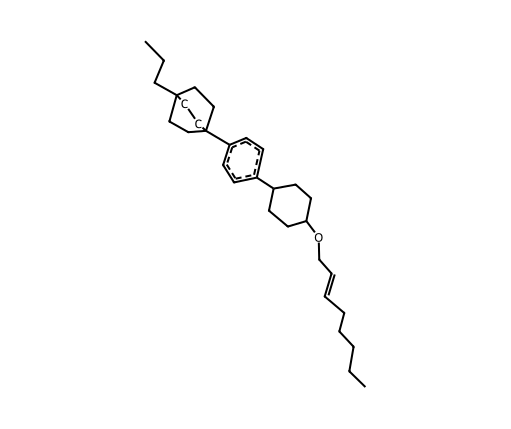 CCCCCC=CCOC1CCC(c2ccc(C34CCC(CCC)(CC3)CC4)cc2)CC1